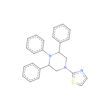 c1ccc(C2CN(c3nccs3)CC(c3ccccc3)N2c2ccccc2)cc1